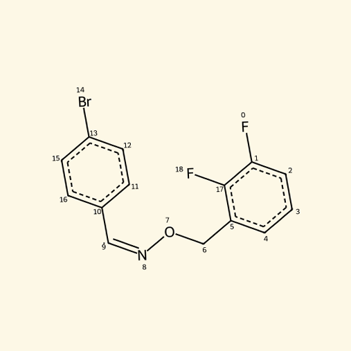 Fc1cccc(CO/N=[C]\c2ccc(Br)cc2)c1F